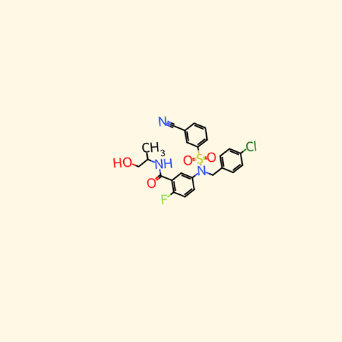 CC(CO)NC(=O)c1cc(N(Cc2ccc(Cl)cc2)S(=O)(=O)c2cccc(C#N)c2)ccc1F